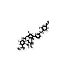 COC(Cn1c(Cc2cc(F)c(-c3cccc(OCc4ccc(C#N)cc4F)n3)cc2F)nc2ccc(C(=O)O)cc21)C(F)(F)F